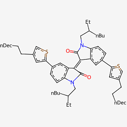 CCCCCCCCCCCCc1csc(-c2ccc3c(c2)/C(=C2\C(=O)N(CC(CC)CCCC)c4ccc(-c5cc(CCCCCCCCCCCC)cs5)cc42)C(=O)N3CC(CC)CCCC)c1